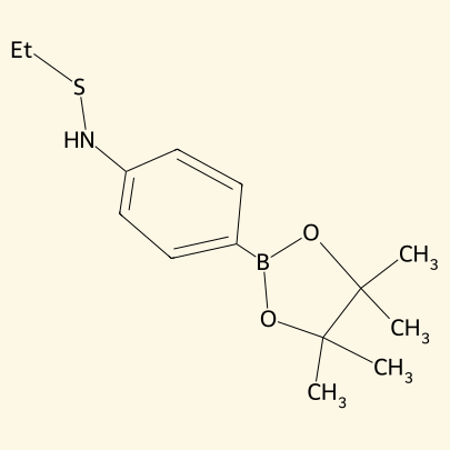 CCSNc1ccc(B2OC(C)(C)C(C)(C)O2)cc1